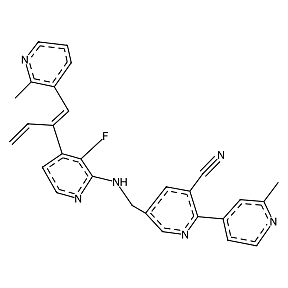 C=C/C(=C\c1cccnc1C)c1ccnc(NCc2cnc(-c3ccnc(C)c3)c(C#N)c2)c1F